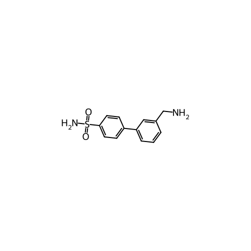 NCc1cccc(-c2ccc(S(N)(=O)=O)cc2)c1